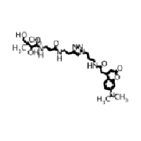 CN(C)c1ccc2c(CC(=O)NCCCn3cc(CCNC(=O)/C=C/NC(=O)C(O)C(C)(C)CO)nn3)cc(=O)oc2c1